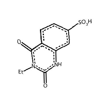 CCn1c(=O)[nH]c2cc(S(=O)(=O)O)ccc2c1=O